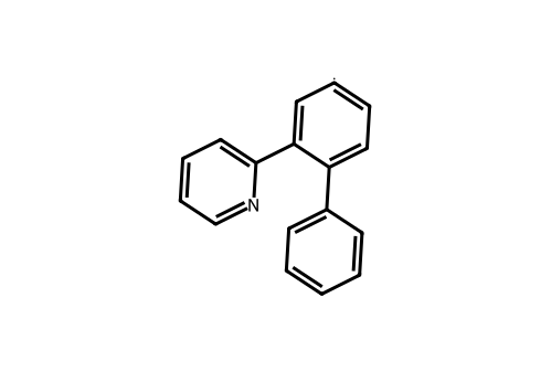 [c]1ccc(-c2ccccc2)c(-c2ccccn2)c1